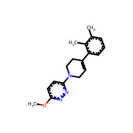 COc1ccc(N2CC=C(c3cccc(C)c3C)CC2)nn1